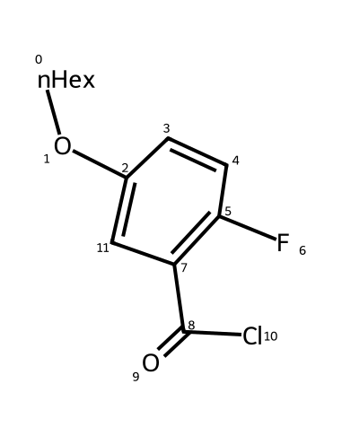 CCCCCCOc1ccc(F)c(C(=O)Cl)c1